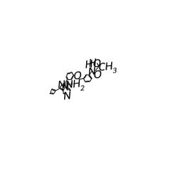 CC(O)C(=O)Nc1cccc(COc2cccc(C3=NC(C4=CC=C4)=C4C=NC=C[N+]34N)c2)c1